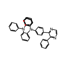 c1ccc(-c2nccnc2-c2ccc(N(c3ccccc3)c3ccccc3N(c3ccccc3)c3ccccc3)cc2)cc1